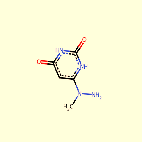 CN(N)c1cc(=O)[nH]c(=O)[nH]1